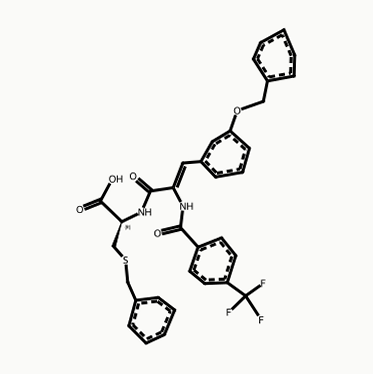 O=C(N[C@@H](CSCc1ccccc1)C(=O)O)C(=Cc1cccc(OCc2ccccc2)c1)NC(=O)c1ccc(C(F)(F)F)cc1